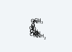 CNC(=O)C1CCN(S(=O)(=O)c2ccc(C)c(-c3cnc4c(N)ncnn34)c2)CC1